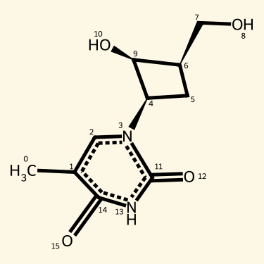 Cc1cn([C@@H]2C[C@H](CO)[C@@H]2O)c(=O)[nH]c1=O